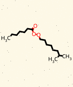 CCCCCCC(=O)OOCCCCCCC(C)C